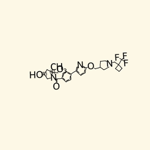 C[C@@]1(C=O)C[C@@H](O)CN1C(=O)c1ccc(-c2ccc(OCC3CCN(CC4(C(F)(F)F)CCC4)CC3)nc2)cc1